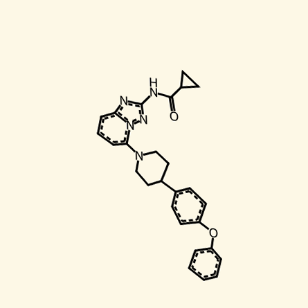 O=C(Nc1nc2cccc(N3CCC(c4ccc(Oc5ccccc5)cc4)CC3)n2n1)C1CC1